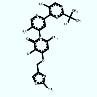 Cc1nc(COc2cc(C)n(-c3cc(-c4nc(C(C)(C)O)ncc4C)ncc3C)c(=O)c2Br)co1